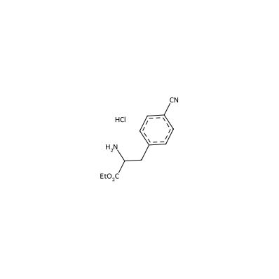 CCOC(=O)C(N)Cc1ccc(C#N)cc1.Cl